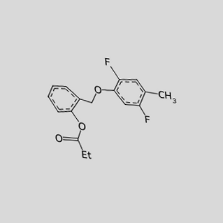 CCC(=O)Oc1ccccc1COc1cc(F)c(C)cc1F